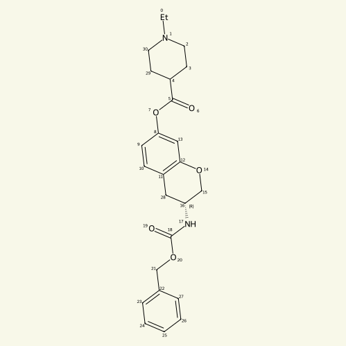 CCN1CCC(C(=O)Oc2ccc3c(c2)OC[C@H](NC(=O)OCc2ccccc2)C3)CC1